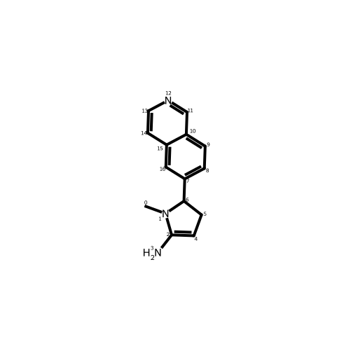 CN1C(N)=CCC1c1ccc2cnccc2c1